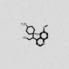 COc1ccc2nccc(C(CO)[C@]3(O)CC[C@@H](N)CC3)c2c1